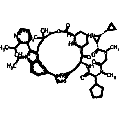 CCn1c(-c2cccnc2C(C)C)c2c3cc(ccc31)-c1csc(n1)C[C@H](NC(=O)[C@H](C1CCCC1)N(C)C(=O)CN(C)C(=O)[C@@H]1N[C@@H]1C1CC1)C(=O)N1CCC[C@H](N1)C(=O)OCC(C)(C)C2